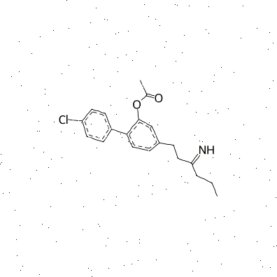 CCCC(=N)CCc1ccc(-c2ccc(Cl)cc2)c(OC(C)=O)c1